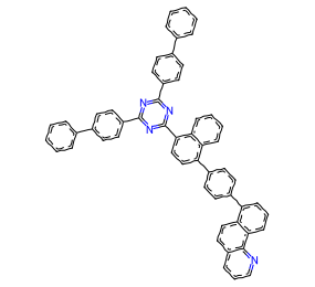 c1ccc(-c2ccc(-c3nc(-c4ccc(-c5ccccc5)cc4)nc(-c4ccc(-c5ccc(-c6cccc7c6ccc6cccnc67)cc5)c5ccccc45)n3)cc2)cc1